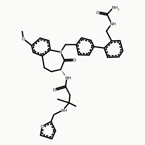 COc1ccc2c(c1)CC[C@@H](NC(=O)CC(C)(C)NCc1ccco1)C(=O)N2Cc1ccc(-c2ccccc2CNC(N)=O)cc1